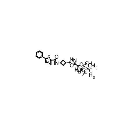 C[C@@H](O[Si](C)(C)C(C)(C)C)c1nnc([C@H]2C[C@H](NC(=O)c3ncc(-c4ccccc4)s3)C2)o1